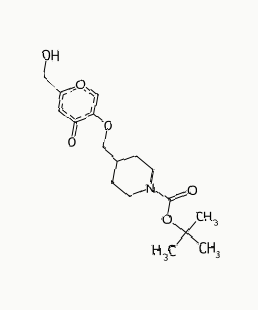 CC(C)(C)OC(=O)N1CCC(COc2coc(CO)cc2=O)CC1